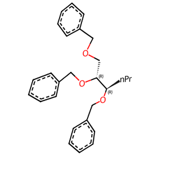 CCC[C@@H](OCc1ccccc1)[C@@H](COCc1ccccc1)OCc1ccccc1